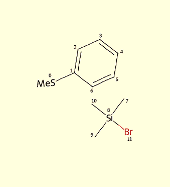 CSc1ccccc1.C[Si](C)(C)Br